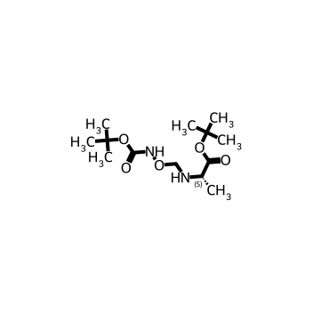 C[C@H](NCONC(=O)OC(C)(C)C)C(=O)OC(C)(C)C